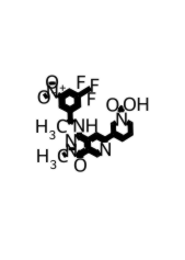 CC(Nc1nn(C)c(=O)c2cnc(C3=CCCN(C(=O)O)C3)cc12)c1cc([N+](=O)[O-])cc(C(F)(F)F)c1